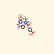 CN(C(=O)c1cccc(-n2nc(C(F)(F)F)c3c2[C@@H](Oc2ccc(C(=O)O)cn2)COC3)c1)c1ccc2c(c1)OC(F)(F)O2